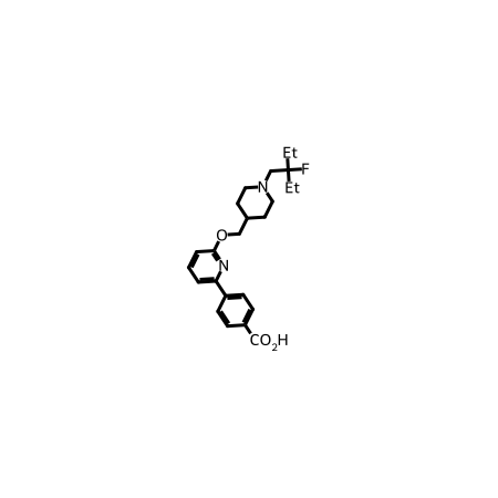 CCC(F)(CC)CN1CCC(COc2cccc(-c3ccc(C(=O)O)cc3)n2)CC1